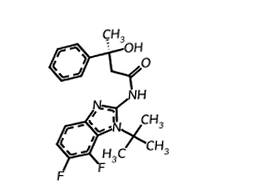 CC(C)(C)n1c(NC(=O)C[C@](C)(O)c2ccccc2)nc2ccc(F)c(F)c21